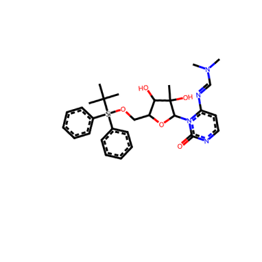 CN(C)C=Nc1ccnc(=O)n1C1OC(CO[Si](c2ccccc2)(c2ccccc2)C(C)(C)C)C(O)C1(C)O